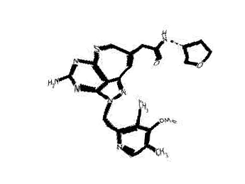 COc1c(C)cnc(Cn2nc3c4c(nc(N)nc42)SCC(CC(=O)N[C@@H]2CCOC2)=C3)c1C